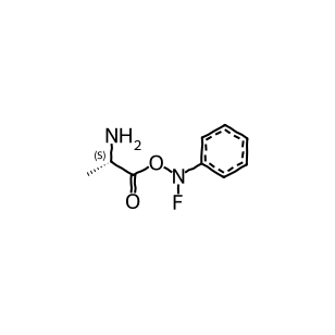 C[C@H](N)C(=O)ON(F)c1ccccc1